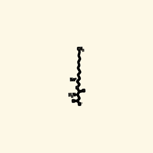 CCCCCCCCCCCCOC(=O)C(N)CC(=O)[O-].[Na+]